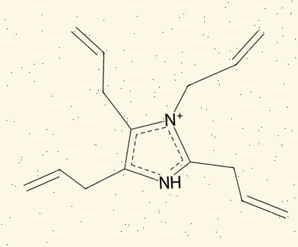 C=CCc1[nH]c(CC=C)[n+](CC=C)c1CC=C